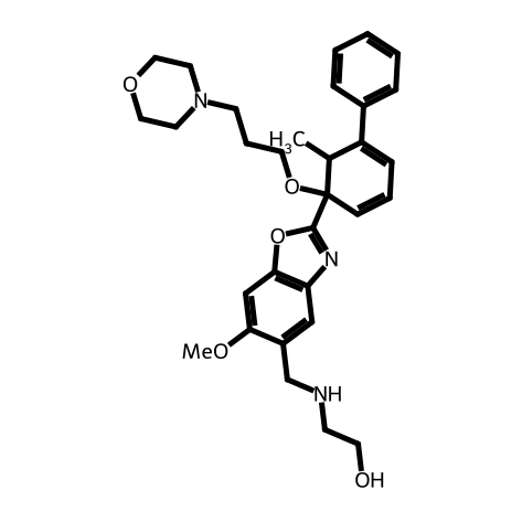 COc1cc2oc(C3(OCCCN4CCOCC4)C=CC=C(c4ccccc4)C3C)nc2cc1CNCCO